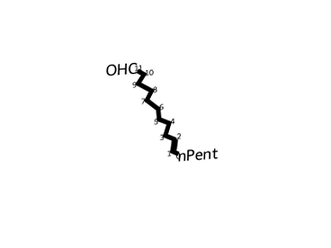 CCCCCC=CCCCCCCCCC=O